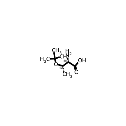 C[C@H](OC(C)(C)C)[C@@H](N)C(=O)O